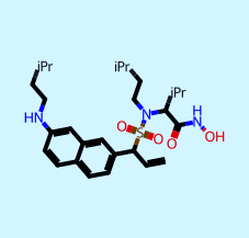 C=CC(c1ccc2ccc(NCCC(C)C)cc2c1)S(=O)(=O)N(CCC(C)C)C(C(=O)NO)C(C)C